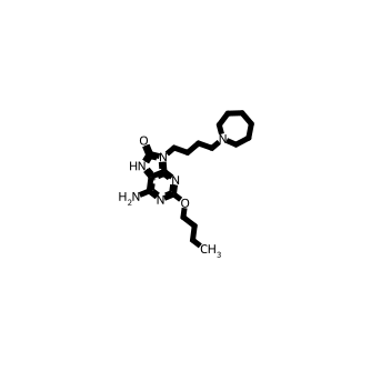 CCCCOc1nc(N)c2[nH]c(=O)n(CCCCN3CCCCCC3)c2n1